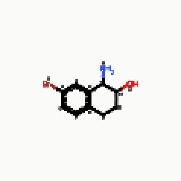 NC1c2cc(Br)ccc2CCC1O